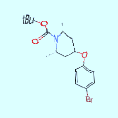 C[C@@H]1CC(Oc2ccc(Br)cc2)C[C@H](C)N1C(=O)OC(C)(C)C